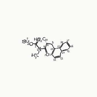 CN(C(=O)OC(C)(C)C)C(=O)[C@@H](Cc1cccc2ccccc12)C(=O)O